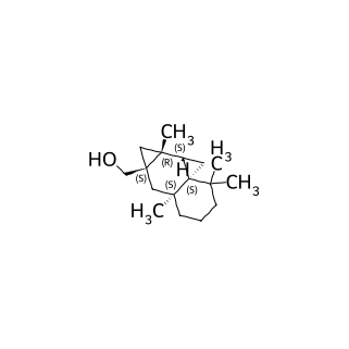 CC1(C)CCC[C@@]2(C)C[C@]3(CO)C[C@]3(C)[C@@H]3C[C@]312